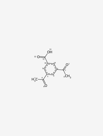 CC(=O)c1cc(C(C)=O)cc(C(=O)O)c1